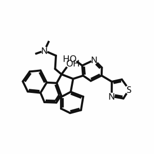 CN(C)CCC(O)(C1=C=C=Cc2ccccc21)C(c1ccccc1)c1cc(-c2cscn2)cnc1O